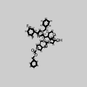 O=C(OCc1ccccc1)N1C[C@@H](CN(C(=O)N2CC(O)C2)[C@@H](c2nc(-c3cc(F)ccc3F)cn2Cc2ccccc2)C2CCOCC2)[C@@H](F)C1